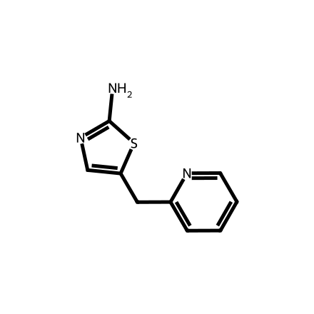 Nc1ncc(Cc2ccccn2)s1